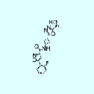 C[C@@H](O)c1nnc([C@H]2C[C@H](NC(=O)c3cc(-c4ccccc4F)on3)C2)o1